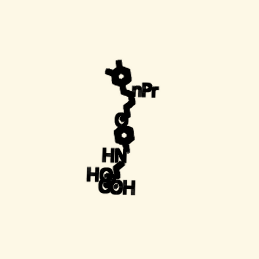 CCCC(CCCOc1ccc(CNCCCP(=O)(O)O)cc1)Cc1ccc(C)c(C)c1